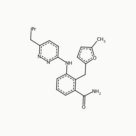 Cc1ccc(Cc2c(Nc3ccc(CC(C)C)nn3)cccc2C(N)=O)o1